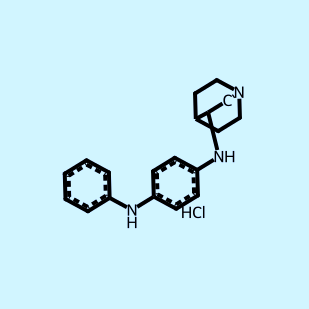 Cl.c1ccc(Nc2ccc(NC3CN4CCC3CC4)cc2)cc1